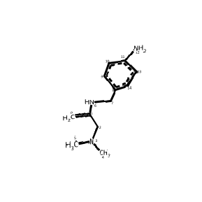 C=C(CN(C)C)NCc1ccc(N)cc1